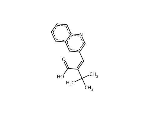 CC(C)(C)C(=Cc1cnc2ccccc2c1)C(=O)O